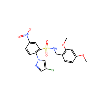 COc1ccc(CNS(=O)(=O)c2cc([N+](=O)[O-])ccc2-n2cc(Cl)cn2)c(OC)c1